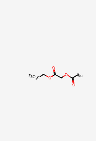 CCOC(=O)COC(=O)COC(=O)C(C)CC